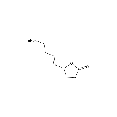 CCCCCCCCC=CC1CCC(=O)O1